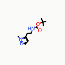 Cn1nccc1CCNC(=O)OC(C)(C)C